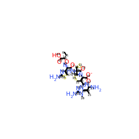 CC[C@@H](O/N=C(\C(=O)NC1(C=S)C(=O)N2C(C(=O)[O-])=C(c3nc(N)c(C)c4n(C)c(N)n[n+]34)CS[C@H]21)c1csc(N)n1)C(=O)O